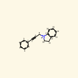 C(#Cc1ccccc1)CN1CCc2ccccc21